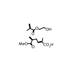 C=C(C)C(=O)OCCO.C=C(CC=C(C)C(=O)O)C(=O)OC